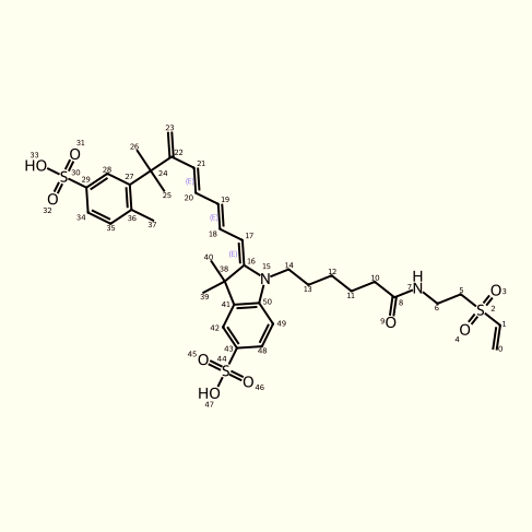 C=CS(=O)(=O)CCNC(=O)CCCCCN1/C(=C/C=C/C=C/C(=C)C(C)(C)c2cc(S(=O)(=O)O)ccc2C)C(C)(C)c2cc(S(=O)(=O)O)ccc21